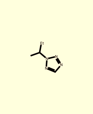 CCC(C)n1ncnn1